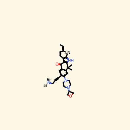 C/C=C(C#N)\C=C/c1c(C)[nH]c2c1C(=O)c1cc(C#CCN(CC)CC)c(N3CCN(C4COC4)CC3)cc1C2(C)C